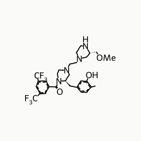 COC[C@@H]1CN(CCN2CCN(C(=O)c3cc(C(F)(F)F)cc(C(F)(F)F)c3)[C@H](Cc3ccc(C)c(O)c3)C2)CCN1